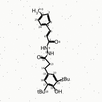 Cc1ccc(/C=C/C(=O)NNC(=O)CCc2cc(C(C)(C)C)c(O)c(C(C)(C)C)c2)cc1